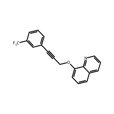 FC(F)(F)c1cccc(C#CCOc2cccc3cccnc23)c1